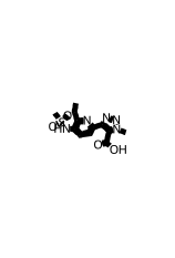 CCc1nc(-c2nnn(C)c2C(=O)O)ccc1NS(C)(=O)=O